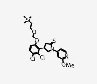 COc1cc(N2C[C@@H](c3c(OCOCC[Si](C)(C)C)ccc(Cl)c3Cl)CC2=S)ccn1